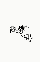 CN(C)c1ccc(Nc2nc(N(C)C)nc3c2CCN(c2ncccc2C(F)(F)F)CC3)cc1